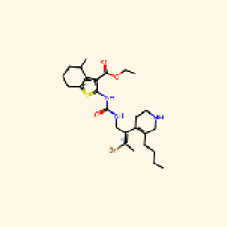 CCCCC1=C(/C(CNC(=O)Nc2sc3c(c2C(=O)OCC)C(C)CCC3)=C(\C)Br)CCNC1